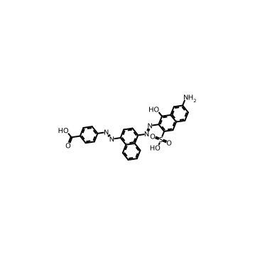 Nc1ccc2cc(S(=O)(=O)O)c(/N=N/c3ccc(/N=N/c4ccc(C(=O)O)cc4)c4ccccc34)c(O)c2c1